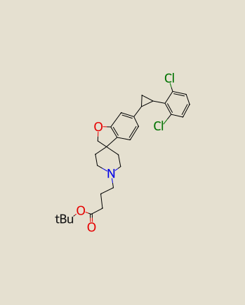 CC(C)(C)OC(=O)CCCN1CCC2(CC1)COc1cc(C3CC3c3c(Cl)cccc3Cl)ccc12